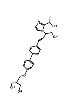 C[C@H](O)c1nccn1C(/C=C/c1ccc(-c2ccc(OCC(CO)CO)cc2)cc1)CO